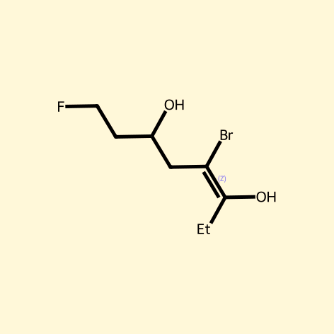 CC/C(O)=C(/Br)CC(O)CCF